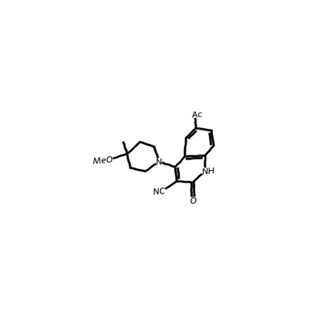 COC1(C)CCN(c2c(C#N)c(=O)[nH]c3ccc(C(C)=O)cc23)CC1